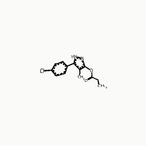 CCC(=O)Oc1n[nH]c(-c2ccc(Cl)cc2)c1C